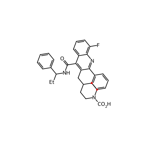 CCC(NC(=O)c1c(CC2CCN(C(=O)O)CC2)c(-c2ccccc2)nc2c(F)cccc12)c1ccccc1